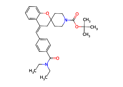 CCN(CC)C(=O)c1ccc(C=C2CC3(CCN(C(=O)OC(C)(C)C)CC3)Oc3ccccc32)cc1